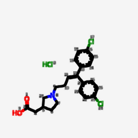 Cl.O=C(O)CC1CCN(CCC=C(c2ccc(Cl)cc2)c2ccc(Cl)cc2)C1